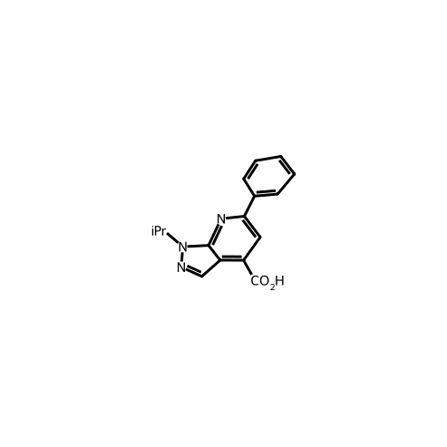 CC(C)n1ncc2c(C(=O)O)cc(-c3ccccc3)nc21